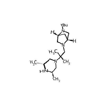 C[C@@H]1CN(C(C)(C)CN2C[C@H]3C[C@@H]2CN3C(C)(C)C)C[C@@H](C)N1